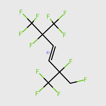 FCC(F)(/C=C/C(F)(C(F)(F)F)C(F)(F)F)C(F)(F)F